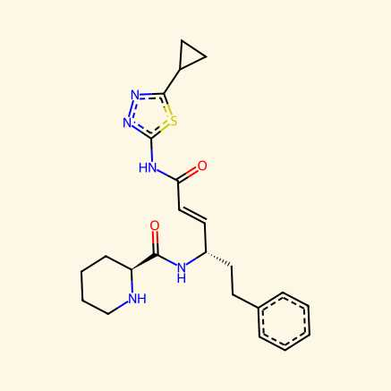 O=C(/C=C/[C@H](CCc1ccccc1)NC(=O)[C@@H]1CCCCN1)Nc1nnc(C2CC2)s1